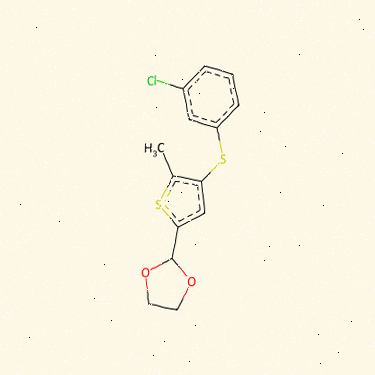 Cc1sc(C2OCCO2)cc1Sc1cccc(Cl)c1